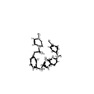 CCN1CCN(C(=O)Cc2ccnc(Nc3nc4ccc(N(C)c5ccc(C)cc5)nc4s3)c2)CC1